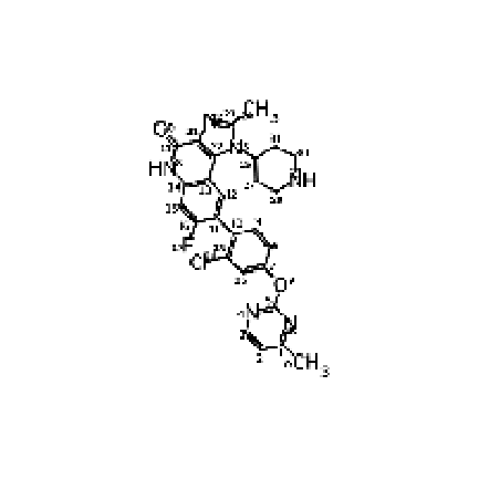 Cc1ccnc(Oc2ccc(-c3cc4c(cc3F)[nH]c(=O)c3nc(C)n(C5CCNCC5)c34)c(Cl)c2)n1